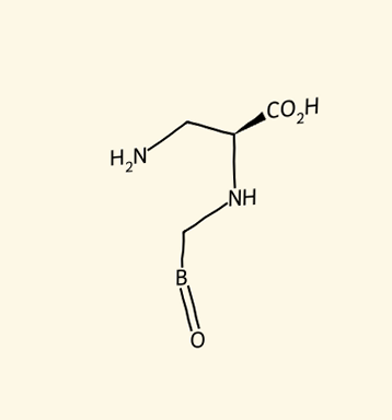 NC[C@H](NCB=O)C(=O)O